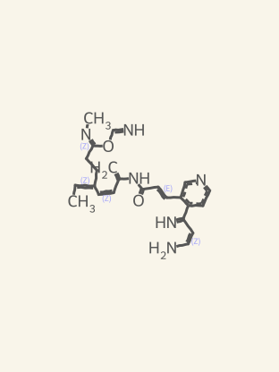 C=C(/C=C\C(=C/C)CC/C(=N/C)OC=N)NC(=O)/C=C/c1cnccc1C(=N)/C=C\N